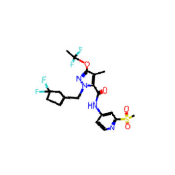 Cc1c(OC(C)(F)F)nn(CC2CCC(F)(F)C2)c1C(=O)Nc1ccnc(S(C)(=O)=O)c1